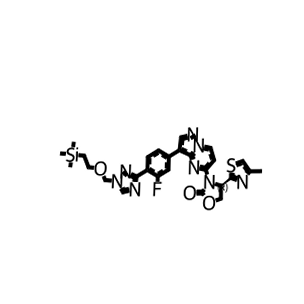 Cc1csc([C@H]2COC(=O)N2c2ccn3ncc(-c4ccc(-c5ncn(COCC[Si](C)(C)C)n5)c(F)c4)c3n2)n1